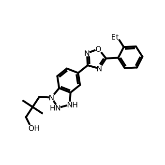 CCc1ccccc1-c1nc(-c2ccc3c(c2)NNN3CC(C)(C)CO)no1